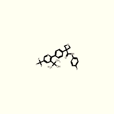 CC(C)(O)c1cc(C(F)(F)F)cnc1-c1ccc(C2(C(=O)Nc3ccc(F)cc3)COC2)cc1